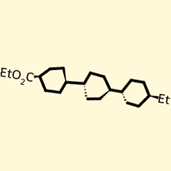 CCOC(=O)[C@H]1CC[C@@H]([C@H]2CC[C@H]([C@H]3CC[C@H](CC)CC3)CC2)CC1